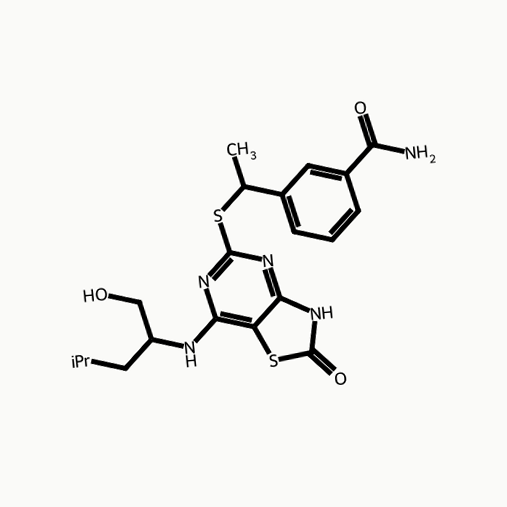 CC(C)CC(CO)Nc1nc(SC(C)c2cccc(C(N)=O)c2)nc2[nH]c(=O)sc12